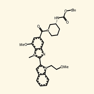 COCCn1c(-c2nc3cc(C(=O)N4CCC[C@@H](NC(=O)OC(C)(C)C)C4)cc(OC)c3n2C)cc2ccccc21